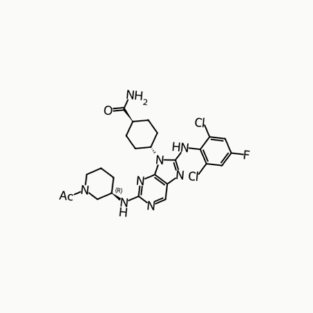 CC(=O)N1CCC[C@@H](Nc2ncc3nc(Nc4c(Cl)cc(F)cc4Cl)n([C@H]4CC[C@H](C(N)=O)CC4)c3n2)C1